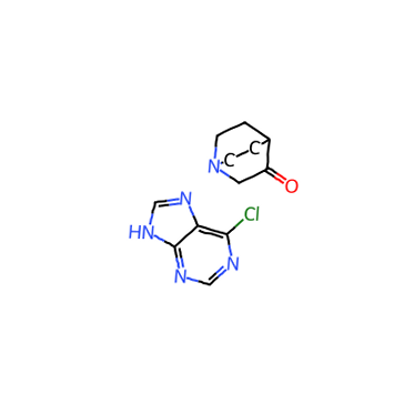 Clc1ncnc2[nH]cnc12.O=C1CN2CCC1CC2